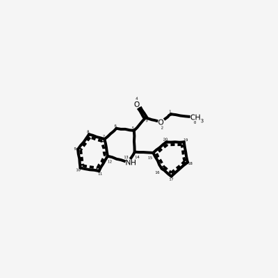 CCOC(=O)C1Cc2ccccc2NC1c1ccccc1